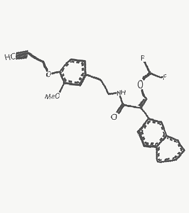 C#CCOc1ccc(CCNC(=O)C(=COC(F)F)c2ccc3ccccc3c2)cc1OC